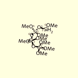 CO[SiH2]O[Si](OC)(OC)O[Si](OC)(OC)O[Si](OC)(OC)OC